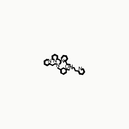 OC1(CN(CCc2ccccn2)CCc2ccccn2)C=CC=C(CN(CCc2ccccn2)CCc2ccccn2)C1